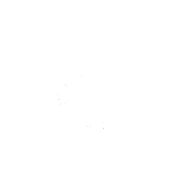 C=C(Cc1ccc(OC)cc1)Nc1nnc(C2CCC(c3nnc(NC(=O)CC4=CC=C(OC)CC4)s3)C2)s1